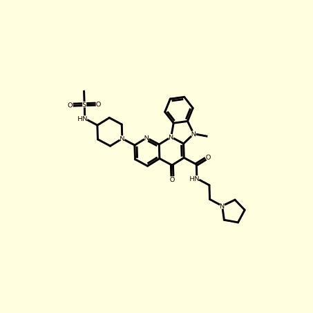 Cn1c2ccccc2n2c3nc(N4CCC(NS(C)(=O)=O)CC4)ccc3c(=O)c(C(=O)NCCN3CCCC3)c12